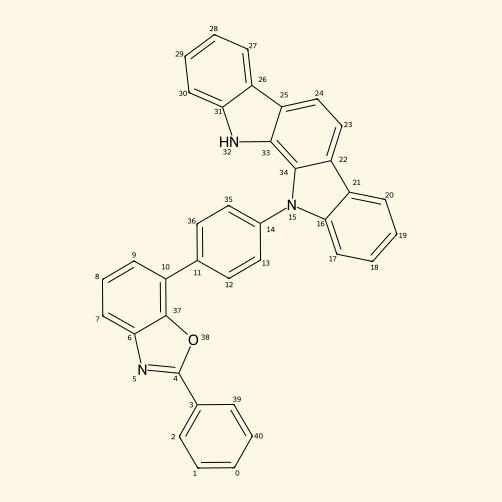 c1ccc(-c2nc3cccc(-c4ccc(-n5c6ccccc6c6ccc7c8ccccc8[nH]c7c65)cc4)c3o2)cc1